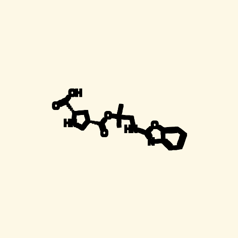 CC(C)(CNc1nc2ccccc2o1)OC(=O)[C@@H]1CN[C@H](C(=O)O)C1